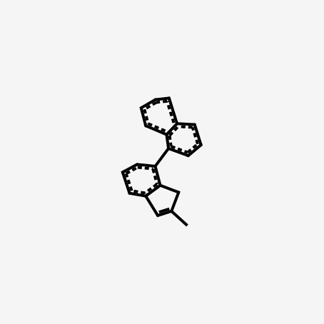 CC1=Cc2cccc(-c3cccc4ccccc34)c2C1